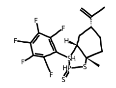 C=C(C)[C@@H]1CC[C@]2(C)S[PH](=S)[SH](c3c(F)c(F)c(F)c(F)c3F)[C@@H]2C1